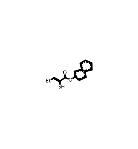 CCC=C(S)C(=O)Oc1ccc2ccccc2c1